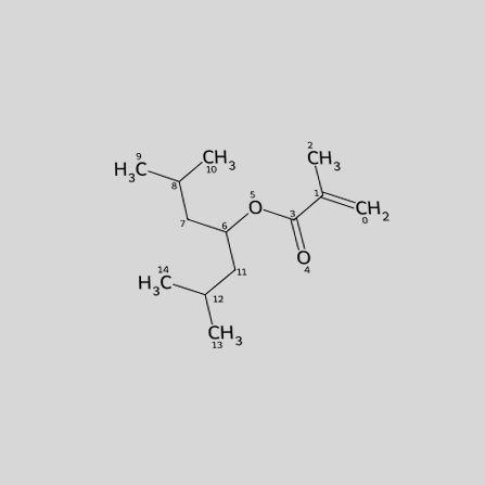 C=C(C)C(=O)OC(CC(C)C)CC(C)C